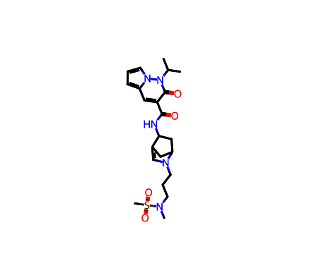 CC(C)n1c(=O)c(C(=O)NC2CC3CC2=CN3CCCN(C)S(C)(=O)=O)cc2cccn21